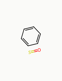 O=S.c1ccccc1